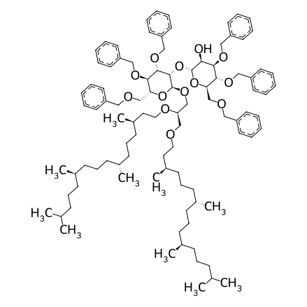 CC(C)CCC[C@@H](C)CCC[C@@H](C)CCC[C@@H](C)CCOC[C@H](CO[C@H]1O[C@H](COCc2ccccc2)[C@@H](OCc2ccccc2)[C@H](OCc2ccccc2)[C@@H]1O[C@H]1O[C@H](COCc2ccccc2)[C@@H](OCc2ccccc2)[C@H](OCc2ccccc2)[C@@H]1O)OCC[C@H](C)CCC[C@H](C)CCC[C@H](C)CCCC(C)C